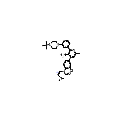 Cc1cc(-c2ccc(N(C=O)/C=C\N(C)C)c(Cl)c2)c(N)c(-c2cccc(N3CCN(C(C)(C)C)CC3)c2)n1